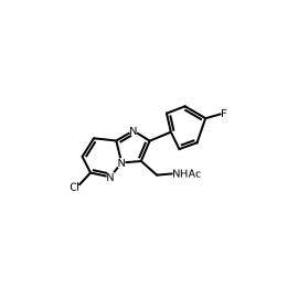 CC(=O)NCc1c(-c2ccc(F)cc2)nc2ccc(Cl)nn12